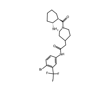 N[C@@H]1CCCC[C@H]1C(=O)N1CCC(CC(=O)Nc2ccc(Br)c(C(F)(F)F)c2)CC1